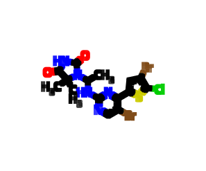 CC(Nc1ncc(Br)c(-c2cc(Br)c(Cl)s2)n1)N1C(=O)NC(=O)C1(C)C